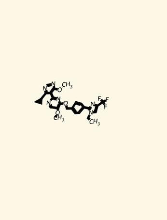 CCn1cc(C(F)(F)F)nc1-c1ccc(COc2nc(-c3c(OC)ncnc3C3CC3)ncc2OC)cc1